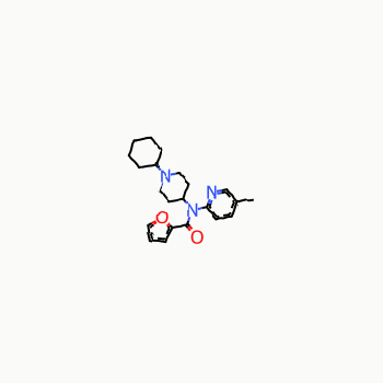 Cc1ccc(N(C(=O)c2ccco2)C2CCN(C3CCCCC3)CC2)nc1